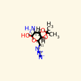 CC1(C)O[C@@H]2[C@@H](N)C(O)OC(CN=[N+]=[N-])[C@@H]2O1